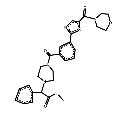 COC(=O)C(c1ccccc1)N1CCN(C(=O)c2cccc(-c3ncc(C(=O)N4CCOCC4)s3)c2)CC1